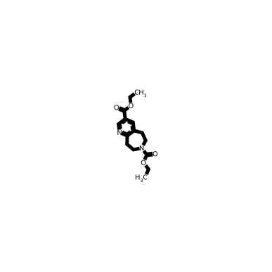 CCOC(=O)c1cnc2c(c1)CCN(C(=O)OCC)CC2